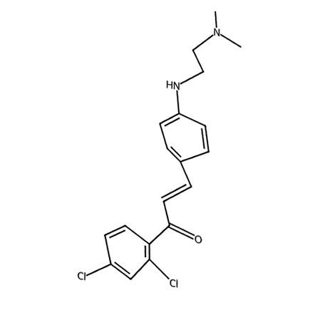 CN(C)CCNc1ccc(C=CC(=O)c2ccc(Cl)cc2Cl)cc1